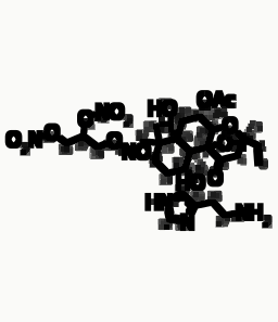 C=C[C@@]1(C)CC(=O)[C@]2(O)[C@@]3(C)[C@@H](O)CCC(C)(C)[C@@H]3[C@H](O)[C@H](OC(C)=O)[C@@]2(C)O1.NCCc1c[nH]cn1.O=[N+]([O-])OCC(CO[N+](=O)[O-])O[N+](=O)[O-]